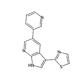 c1cncc(-c2cnc3[nH]cc(-c4nccs4)c3c2)c1